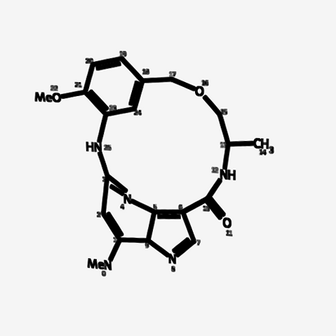 CNC1=CC2=NC3=C(C=NC13)C(=O)NC(C)COCc1ccc(OC)c(c1)N2